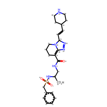 O=C(NCC(NS(=O)(=O)Cc1ccccc1)C(=O)O)C1=C2N=NC(/C=C/C3CCNCC3)N2CCC1